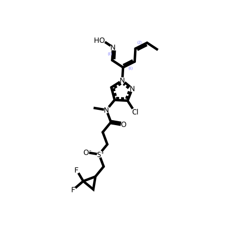 C\C=C/C=C(\C=N\O)n1cc(N(C)C(=O)CC[S+]([O-])CC2CC2(F)F)c(Cl)n1